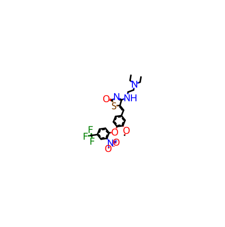 CCN(CC)CCNC1=NC(=O)S/C1=C\c1ccc(Oc2ccc(C(F)(F)F)cc2[N+](=O)[O-])c(OC)c1